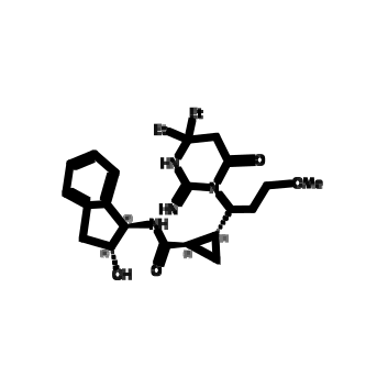 CCC1(CC)CC(=O)N(C(CCOC)[C@@H]2C[C@H]2C(=O)N[C@@H]2c3ccccc3C[C@H]2O)C(=N)N1